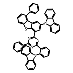 c1ccc(-c2nc(-c3ccccc3-n3c4ccccc4c4ccccc43)nc(-c3cc(-n4c5ccccc5c5ccccc54)cc4c3sc3cccc(-c5ccccc5)c34)n2)cc1